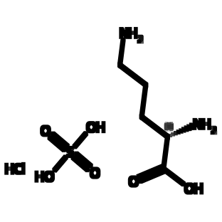 Cl.NCCC[C@H](N)C(=O)O.O=S(=O)(O)O